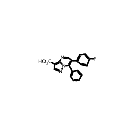 O=C(O)c1cnn2c(-c3ccccc3)c(-c3ccc(F)cc3)cnc12